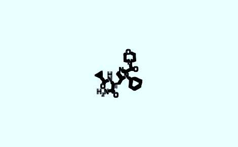 NC(=O)[C@H](Cc1cnc(C(=O)N2CCOCC2)n1-c1ccccc1)NC(=O)C1CC1